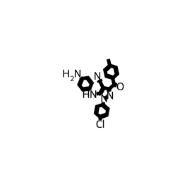 Cc1ccc(C(=O)c2nn(-c3ccc(Cl)cc3)c(Nc3ccc(N)cc3)c2C#N)cc1